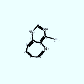 NC1=C2N=CC=CC=C2NC=N1